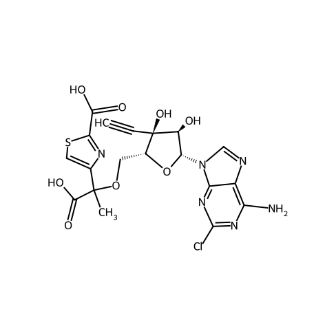 C#C[C@@]1(O)[C@@H](COC(C)(C(=O)O)c2csc(C(=O)O)n2)O[C@@H](n2cnc3c(N)nc(Cl)nc32)[C@@H]1O